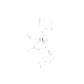 N#Cc1cc(-n2c3ccccc3c3cc(-c4cc(C(F)(F)F)cc(C(F)(F)F)c4)ccc32)c(-c2ccc(C#N)cc2C(F)(F)F)c(-n2c3ccccc3c3cc(-c4cc(C(F)(F)F)cc(C(F)(F)F)c4)ccc32)c1